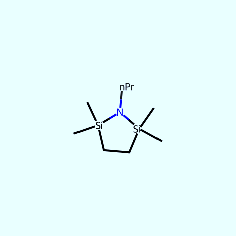 CCCN1[Si](C)(C)CC[Si]1(C)C